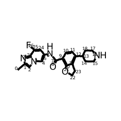 Cc1cn2cc(NC(=O)c3ccc(C4CCNCC4)c4c3OCC4)cc(F)c2n1